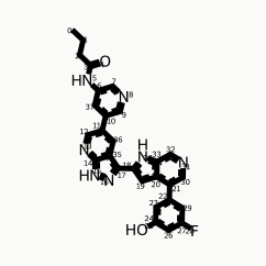 CCCC(=O)Nc1cncc(-c2cnc3[nH]nc(-c4cc5c(-c6cc(O)cc(F)c6)cncc5[nH]4)c3c2)c1